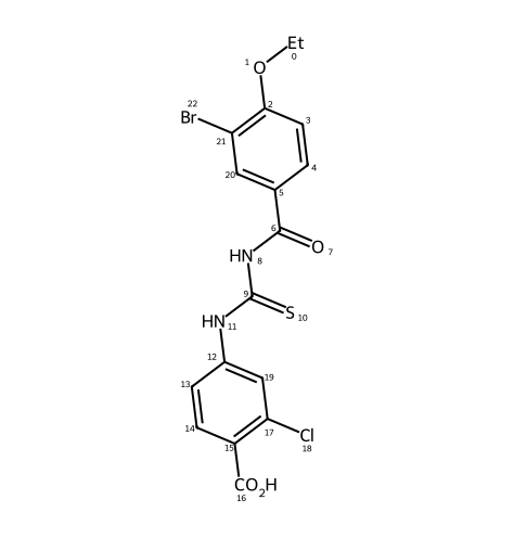 CCOc1ccc(C(=O)NC(=S)Nc2ccc(C(=O)O)c(Cl)c2)cc1Br